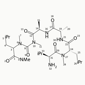 CNC(=O)C(CC(C)C)N(C)C(=O)N(C)C(=O)[C@@H](C)NC(=O)[C@H](C)NC(=O)[C@H](CC(C)C)N(C)C(=O)[C@@H](N)C(C)C